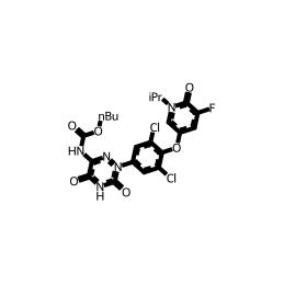 CCCCOC(=O)Nc1nn(-c2cc(Cl)c(Oc3cc(F)c(=O)n(C(C)C)c3)c(Cl)c2)c(=O)[nH]c1=O